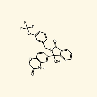 O=C1COc2ccc(C3(O)c4ccccc4C(=O)N3Cc3cccc(OC(F)(F)F)c3)cc2N1